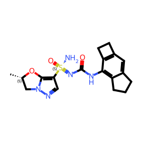 C[C@H]1Cn2ncc([S@@](N)(=O)=NC(=O)Nc3c4c(cc5c3CC5)CCC4)c2O1